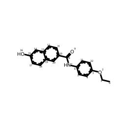 CCOc1ccc(NC(=O)c2ccc3cc(O)ccc3c2)cc1